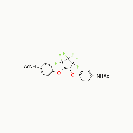 CC(=O)Nc1ccc(OC2=C(Oc3ccc(NC(C)=O)cc3)C(F)(F)C(F)(F)C2(F)F)cc1